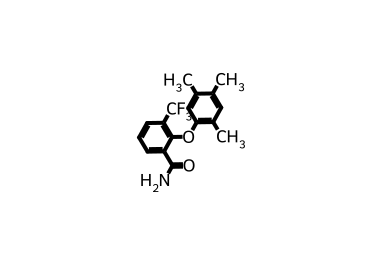 Cc1cc(C)c(Oc2c(C(N)=O)cccc2C(F)(F)F)cc1C